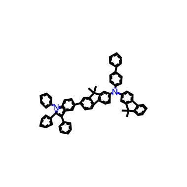 CC1(C)c2ccccc2-c2ccc(N(c3ccc(-c4ccccc4)cc3)c3ccc4c(c3)C(C)(C)c3cc(-c5ccc6c(c5)c(-c5ccccc5)c(-c5ccccc5)n6-c5ccccc5)ccc3-4)cc21